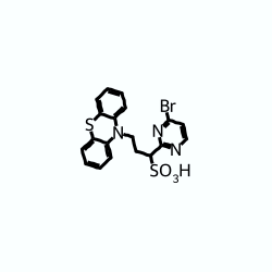 O=S(=O)(O)C(CCN1c2ccccc2Sc2ccccc21)c1nccc(Br)n1